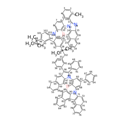 Cc1cccc2c3ccc4c5c3n3c(nc6cc7ccccc7c(c63)B5c3cc(C(C)(C)Cc5cccc(-c6c(-c7ccccc7)n7c8c(c9c(cc68)CCC=C9)B6c8c-7cc(-c7ccccc7)cc8-n7c8ccc9ccccc9c8c8c9ccccc9cc6c87)c5)cc5c6cc(C(C)(C)C)ccc6n-4c35)c12